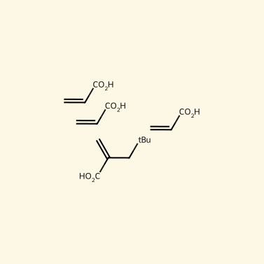 C=C(CC(C)(C)C)C(=O)O.C=CC(=O)O.C=CC(=O)O.C=CC(=O)O